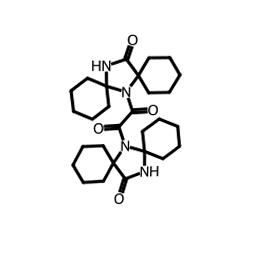 O=C(C(=O)N1C2(CCCCC2)NC(=O)C12CCCCC2)N1C2(CCCCC2)NC(=O)C12CCCCC2